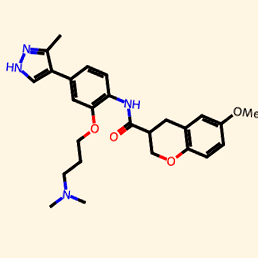 COc1ccc2c(c1)CC(C(=O)Nc1ccc(-c3c[nH]nc3C)cc1OCCCN(C)C)CO2